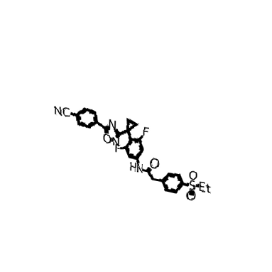 CCS(=O)(=O)c1ccc(CC(=O)Nc2cc(F)c(C3(c4noc(-c5ccc(C#N)cc5)n4)CC3)c(F)c2)cc1